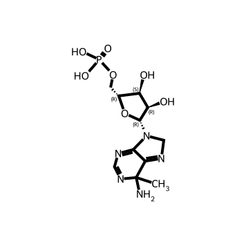 CC1(N)N=CN=C2C1=NCN2[C@@H]1O[C@H](COP(=O)(O)O)[C@@H](O)[C@H]1O